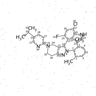 Cc1cccc(C)c1-n1nc2c(c1-c1c(F)cc(Cl)c3[nH]ccc13)CN(c1ccc(C(C)C)cn1)CC2